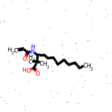 C=CC(=O)NC(CCCCCCCCC)C(C)(C)C(=O)O